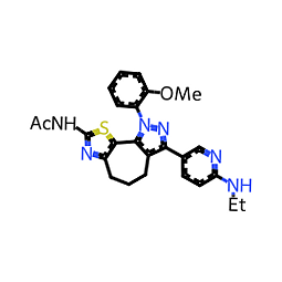 CCNc1ccc(-c2nn(-c3ccccc3OC)c3c2CCCc2nc(NC(C)=O)sc2-3)cn1